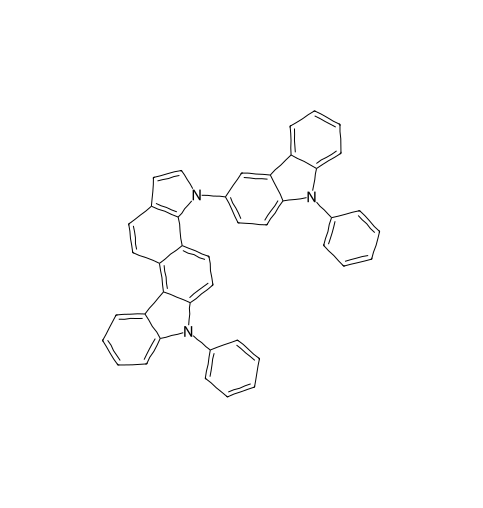 c1ccc(-n2c3ccccc3c3cc(-n4ccc5ccc6c(ccc7c6c6ccccc6n7-c6ccccc6)c54)ccc32)cc1